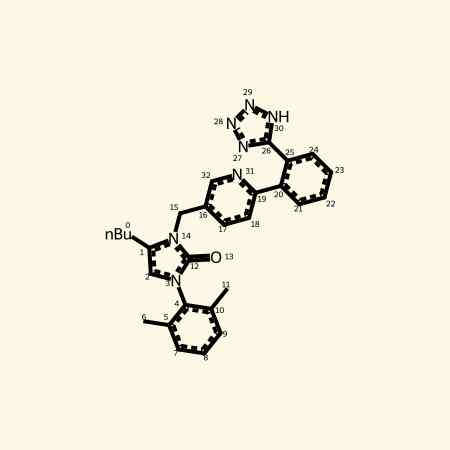 CCCCc1cn(-c2c(C)cccc2C)c(=O)n1Cc1ccc(-c2ccccc2-c2nnn[nH]2)nc1